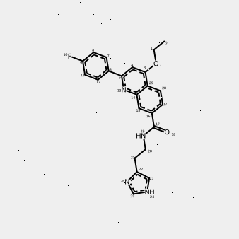 CCOc1cc(-c2ccc(F)cc2)nc2cc(C(=O)NCCc3c[nH]cn3)ccc12